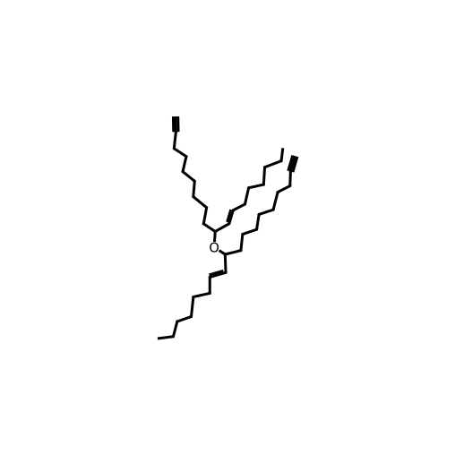 C#CCCCCCCCC(/C=C/CCCCCC)OC(/C=C/CCCCCC)CCCCCCCC#C